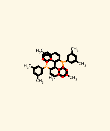 CC1=CCC(P(c2cc(C)cc(C)c2)c2ccc3ccccc3c2-c2c(P(c3cc(C)cc(C)c3)c3cc(C)cc(C)c3)ccc3ccccc23)=C1